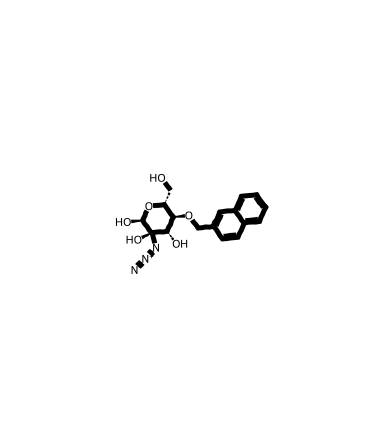 [N-]=[N+]=N[C@]1(O)[C@@H](O)O[C@H](CO)[C@@H](OCc2ccc3ccccc3c2)[C@@H]1O